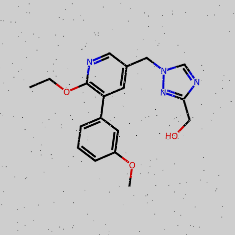 CCOc1ncc(Cn2cnc(CO)n2)cc1-c1cccc(OC)c1